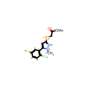 COC(=O)CPc1cc(-c2cc(F)ccc2F)n(C)n1